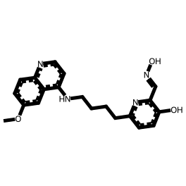 COc1ccc2nccc(NCCCCc3ccc(O)c(C=NO)n3)c2c1